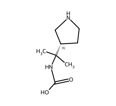 CC(C)(NC(=O)O)[C@H]1CCNC1